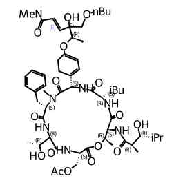 CCCCOC[C@@](O)(/C=C/C(=O)NC)[C@@H](C)OC1=CC=C([C@@H]2NC(=O)[C@@H]([C@@H](C)CC)NC(=O)[C@@H](NC(=O)[C@H](C)[C@H](O)C(C)C)[C@@H](C)OC(=O)[C@H](COC(C)=O)NC(=O)[C@@H]([C@@H](C)O)NC(=O)[C@H](Cc3ccccc3)N(C)C2=O)CC1